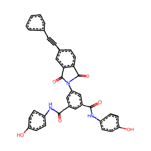 O=C(Nc1ccc(O)cc1)c1cc(C(=O)Nc2ccc(O)cc2)cc(N2C(=O)c3ccc(C#Cc4ccccc4)cc3C2=O)c1